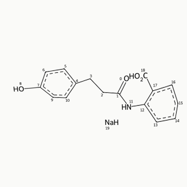 O=C(CCc1ccc(O)cc1)Nc1ccccc1C(=O)O.[NaH]